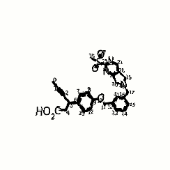 CC#CC(CC(=O)O)c1ccc(OCc2cccc(CN3Cc4cnc(S(C)(=O)=O)nc4C3)c2)cc1